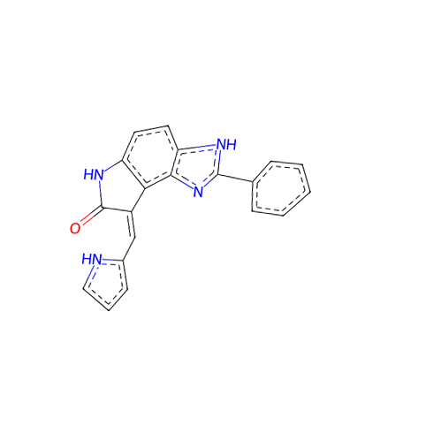 O=C1Nc2ccc3[nH]c(-c4ccccc4)nc3c2C1=Cc1ccc[nH]1